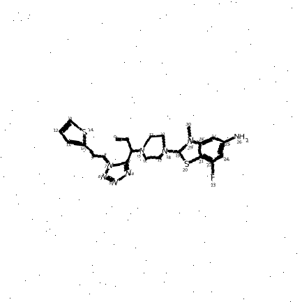 CCC(c1nnnn1CCc1cccs1)N1CCN(C2Sc3c(F)cc(N)cc3N2C)CC1